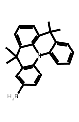 Bc1ccc2c(c1)C(C)(C)c1cccc3c1N2c1ccccc1C3(C)C